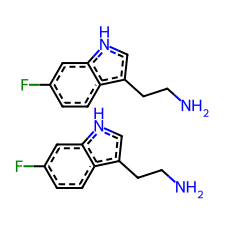 NCCc1c[nH]c2cc(F)ccc12.NCCc1c[nH]c2cc(F)ccc12